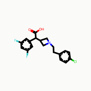 O=C(O)C(c1cc(F)cc(F)c1)C1CN(CCc2ccc(Cl)cc2)C1